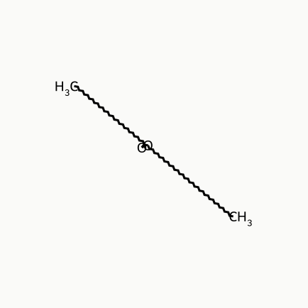 CCCCCCCCCCCCCCCCCCCCCCCCCCCCCCCCCCOC(=O)CCCCCCCCCCCCCCCCCCCCCCCCCCCC